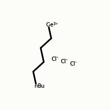 CCCCCCC[CH2][Ge+3].[Cl-].[Cl-].[Cl-]